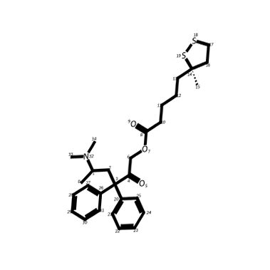 CC(CC(C(=O)COC(=O)CCCC[C@]1(C)CCSS1)(c1ccccc1)c1ccccc1)N(C)C